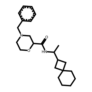 CC(NC(=O)C1CN(Cc2ccccc2)CCO1)C1CC2(CCCCC2)C1